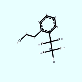 [O]CCc1ccccc1C(F)(F)C(F)(F)F